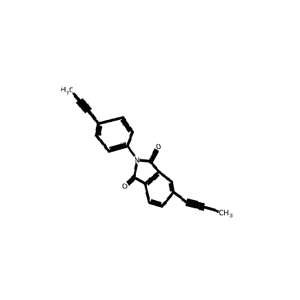 CC#Cc1ccc(N2C(=O)c3ccc(C#CC)cc3C2=O)cc1